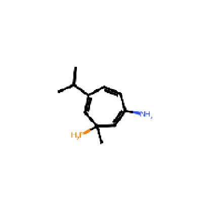 CC(C)C1=CC(C)(P)C=C(N)C=C1